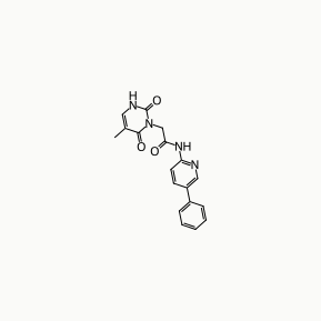 Cc1c[nH]c(=O)n(CC(=O)Nc2ccc(-c3ccccc3)cn2)c1=O